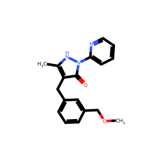 COCc1cccc(Cc2c(C)[nH]n(-c3ccccn3)c2=O)c1